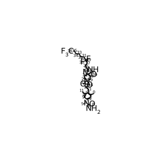 Cc1cc(N(C)C(N)=O)cc(C)c1CCS(=O)(=O)N1CCC2(CC1)N=C(CCC(F)(F)CCCCCC(F)(F)F)NC2=O